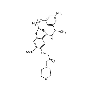 COc1cc2nc(C)nc(NC(C)c3cc(N)cc(C(F)(F)F)c3)c2cc1OCC1(CN2CCOCC2)CC1